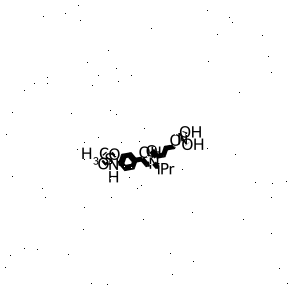 CC(C)N(CC(O)c1ccc(NS(C)(=O)=O)cc1)C(=O)CCCON(O)O